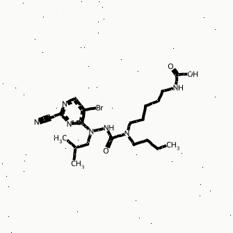 CCCCN(CCCCCNC(=O)O)C(=O)NN(CC(C)C)c1nc(C#N)ncc1Br